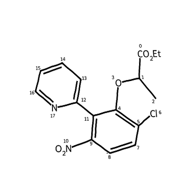 CCOC(=O)C(C)Oc1c(Cl)c[c]c([N+](=O)[O-])c1-c1ccccn1